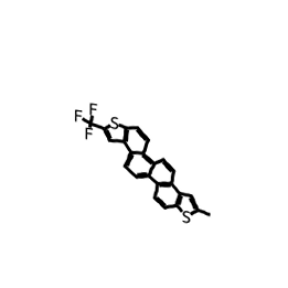 Cc1cc2c(ccc3c2ccc2c4ccc5sc(C(F)(F)F)cc5c4ccc32)s1